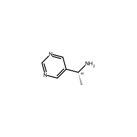 C[C@@H](N)c1cncnc1